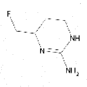 NC1=NC(CF)CCN1